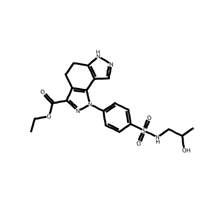 CCOC(=O)c1nn(-c2ccc(S(=O)(=O)NCC(C)O)cc2)c2c1CCc1[nH]ncc1-2